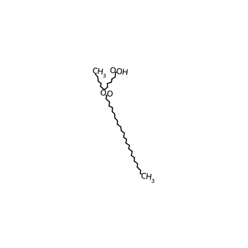 CCCCCCCCCCCCCCCCCCCCCCCCCCC(=O)OC(CCCCCC)CCCCCC(=O)O